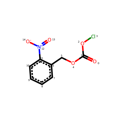 O=C(OCl)OCc1ccccc1[N+](=O)[O-]